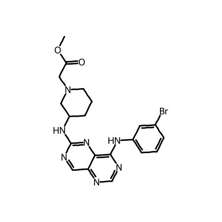 COC(=O)CN1CCCC(Nc2ncc3ncnc(Nc4cccc(Br)c4)c3n2)C1